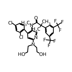 CN(C(=O)C(C)(C)c1cc(C(F)(F)F)cc(C(F)(F)F)c1)c1cnc(N(CCO)CCO)cc1-c1ccc(Cl)cc1Cl